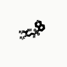 CN(CCNS(=O)(=O)c1cccc2cnccc12)C(=N)N